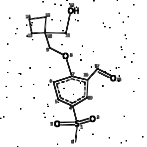 CS(=O)(=O)c1ccc(OCC2(CO)CCC2)c(C=O)c1